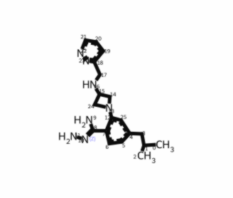 CC(C)Cc1ccc(/C(N)=N/N)c(N2CC(NCc3cccnn3)C2)c1